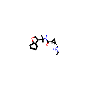 CCNC[C@H]1C[C@@H]1C(=O)NC(C)(C)C1COc2ccccc21